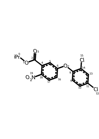 CC(C)OC(=O)c1cc(Oc2ccc(Cl)cc2Cl)ccc1[N+](=O)[O-]